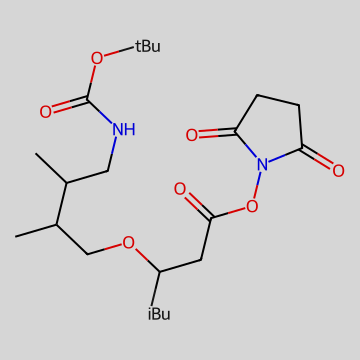 CCC(C)C(CC(=O)ON1C(=O)CCC1=O)OCC(C)C(C)CNC(=O)OC(C)(C)C